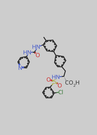 Cc1ccc(-c2ccc(C[C@@H](NS(=O)(=O)c3ccccc3Cl)C(=O)O)cc2)cc1NC(=O)Nc1ccncc1